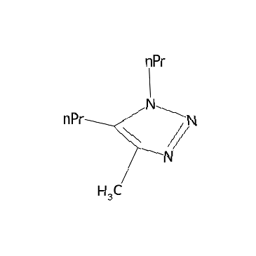 CCCc1c(C)nnn1CCC